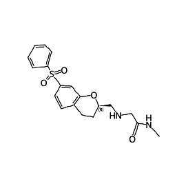 CNC(=O)CNC[C@H]1CCc2ccc(S(=O)(=O)c3ccccc3)cc2O1